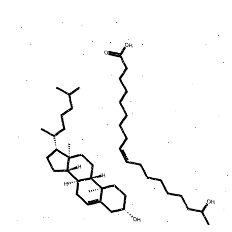 CC(C)CCCC(C)[C@H]1CC[C@H]2[C@@H]3CC=C4C[C@@H](O)CC[C@]4(C)[C@H]3CC[C@]12C.CC(O)CCCCCC/C=C\CCCCCCCC(=O)O